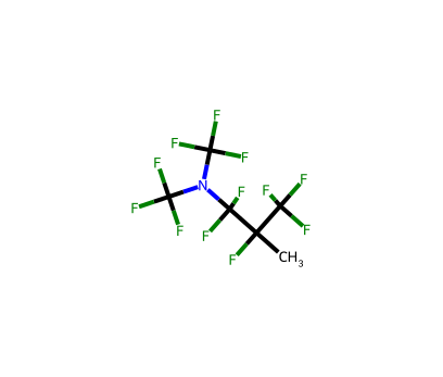 CC(F)(C(F)(F)F)C(F)(F)N(C(F)(F)F)C(F)(F)F